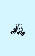 CCOC(=O)[C@H](C)N(Oc1ccccc1)[PH](=O)CCNC(=O)OCc1ccccc1